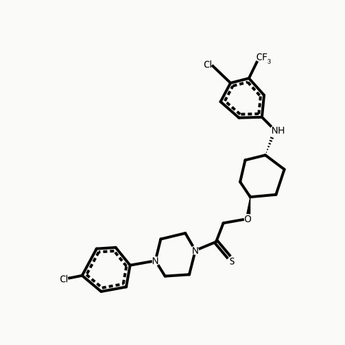 FC(F)(F)c1cc(N[C@H]2CC[C@H](OCC(=S)N3CCN(c4ccc(Cl)cc4)CC3)CC2)ccc1Cl